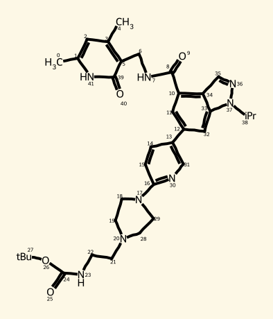 Cc1cc(C)c(CNC(=O)c2cc(-c3ccc(N4CCN(CCNC(=O)OC(C)(C)C)CC4)nc3)cc3c2cnn3C(C)C)c(=O)[nH]1